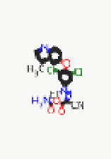 CCN(N=C(C#N)C(=O)OC(N)=O)c1cc(Cl)c(Oc2ccc3nccc(C)c3c2)c(Cl)c1